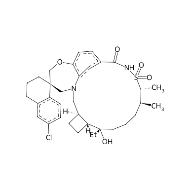 CC[C@]1(O)CCC[C@H](C)[C@@H](C)S(=O)(=O)NC(=O)c2ccc3c(c2)N(C[C@@H]2CC[C@H]21)C[C@@]1(CCCc2cc(Cl)ccc21)CO3